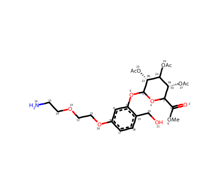 COC(=O)C1OC(Oc2cc(OCCOCCN)ccc2CO)[C@H](OC(C)=O)C(OC(C)=O)[C@@H]1OC(C)=O